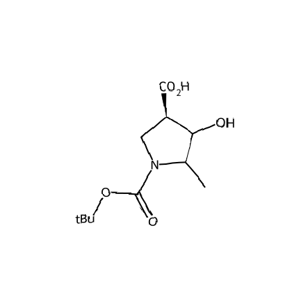 CC1C(O)[C@H](C(=O)O)CN1C(=O)OC(C)(C)C